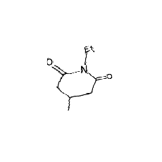 CCN1C(=O)CC(C)CC1=O